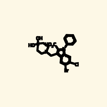 O=C(O)c1c(CN2CCS(O)(O)CC2)c2cc(Br)c(Cl)cc2n1-c1ccccc1